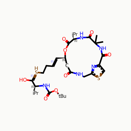 CC(C)[C@@H]1NC(=O)C(C)(C)NC(=O)c2csc(n2)CNC(=O)C[C@@H](/C=C/CC/[SH]=C(/O)[C@@H](NC(=O)OC(C)(C)C)C(C)C)OC1=O